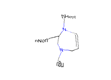 CCCCCCCCCC1N(CCCC)C=CN1CCCCCCC